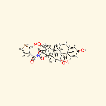 C[C@]12C=CC(=O)C=C1CC[C@@H]1[C@@H]2[C@@H](O)C[C@@]2(C)[C@H]1C[C@H]1CN(C(=O)c3ccsc3)O[C@]12C(=O)CO